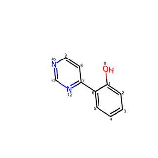 Oc1ccccc1-c1ccncn1